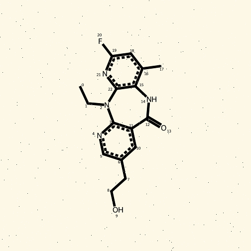 CCN1c2ncc(CCO)cc2C(=O)Nc2c(C)cc(F)nc21